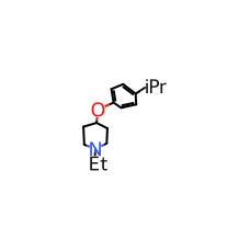 CCN1CCC(Oc2ccc(C(C)C)cc2)CC1